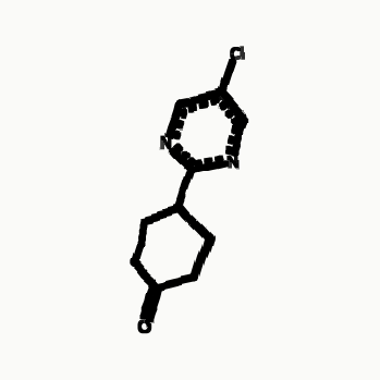 O=C1CCC(c2ncc(Cl)cn2)CC1